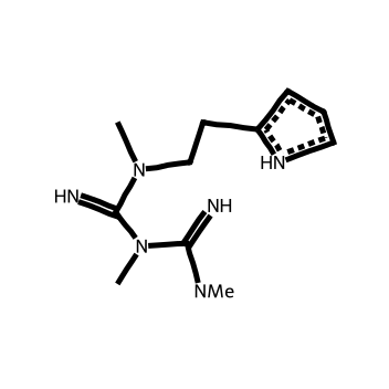 CNC(=N)N(C)C(=N)N(C)CCc1ccc[nH]1